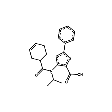 CC(C)N(C(=O)C1CC=CCC1)c1cc(-c2ccccc2)sc1C(=O)O